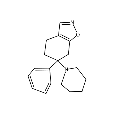 c1ccc(C2(N3CCCCC3)CCc3cnoc3C2)cc1